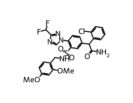 COc1ccc(CNS(=O)(=O)c2cc(C(C(N)=O)c3ccccc3Cl)ccc2-n2cnc(C(F)F)n2)c(OC)c1